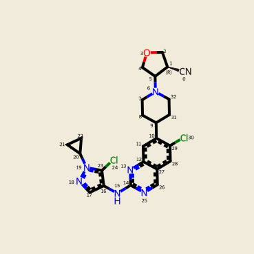 N#C[C@@H]1COCC1N1CCC(c2cc3nc(Nc4cnn(C5CC5)c4Cl)ncc3cc2Cl)CC1